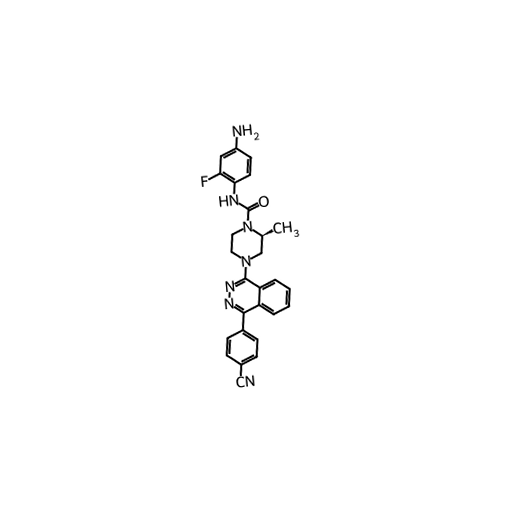 C[C@H]1CN(c2nnc(-c3ccc(C#N)cc3)c3ccccc23)CCN1C(=O)Nc1ccc(N)cc1F